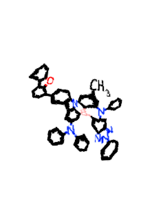 Cc1cc2c3c(c1)-n1c4ccc(-c5cccc6c5oc5ccccc56)cc4c4cc(N(c5ccccc5)c5ccccc5)cc(c41)B3c1cc3nn(-c4ccccc4)nc3cc1N2c1ccccc1